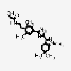 Cc1cc(-c2noc(-c3nn(C)c4c3CCC(C)(C)C4)n2)cc(C)c1CCNC(=O)CO